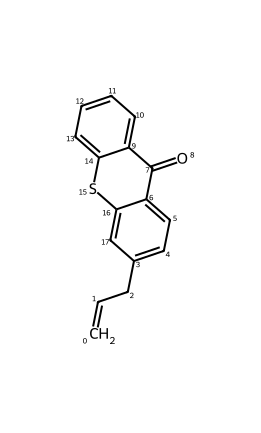 C=CCc1ccc2c(=O)c3ccccc3sc2c1